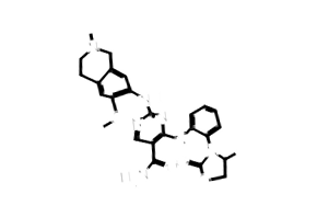 COc1cc2c(cc1Nc1ncc(C(N)=O)c(Nc3ccccc3N3C(=O)OCC3C)n1)CN(C)CC2